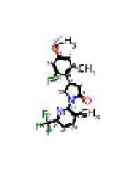 COc1cc(C)c([C@H]2CC(=O)N(c3nc(C(F)(F)F)ccc3C)C2)c(F)c1